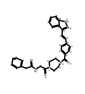 O=C(Cc1ccccc1)NCC(=O)N1CCN(C(=O)c2ccc(/C=C/c3n[nH]c4ccccc34)cc2)CC1